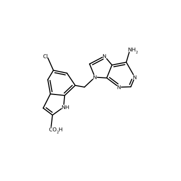 Nc1ncnc2c1ncn2Cc1cc(Cl)cc2cc(C(=O)O)[nH]c12